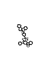 c1ccc(-c2cc3oc4ccccc4c3c3nc(-c4ccc(-n5c6ccccc6c6c7ccccc7ccc65)cc4)sc23)cc1